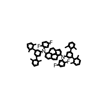 Cc1cccc(C)c1-c1cc(-c2c(C)cccc2C)cc(N(c2cc(F)ccc2F)c2ccc3ccc4c(N(c5cc(-c6c(C)cccc6C)cc(-c6c(C)cccc6C)c5)c5cc(F)ccc5F)ccc5ccc2c3c54)c1